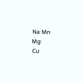 [Cu].[Mg].[Mn].[Na]